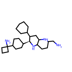 NCC1CCC2N[C@@H](C3CCC(C4(N)CCC4)CC3)C(C3CCCCC3)CC2N1